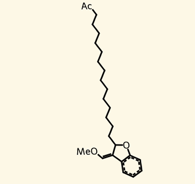 COC=C1c2ccccc2OC1CCCCCCCCCCCCCCC(C)=O